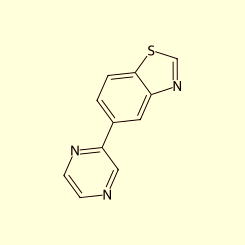 c1cnc(-c2ccc3scnc3c2)cn1